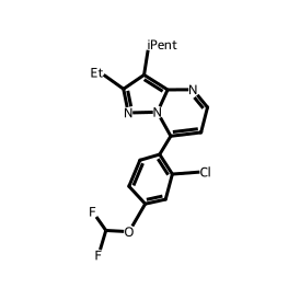 CCCC(C)c1c(CC)nn2c(-c3ccc(OC(F)F)cc3Cl)ccnc12